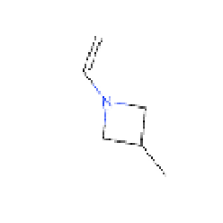 C=CN1CC(C)C1